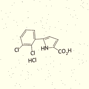 Cl.O=C(O)c1ccc(-c2cccc(Cl)c2Cl)[nH]1